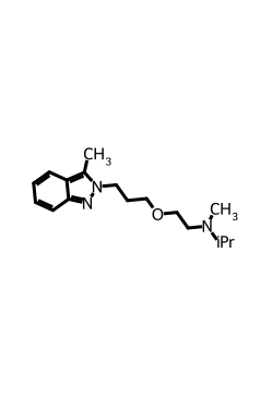 Cc1c2ccccc2nn1CCCOCCN(C)C(C)C